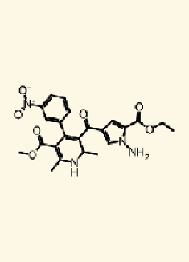 CCOC(=O)c1cc(C(=O)C2=C(c3cccc([N+](=O)[O-])c3)C(C(=O)OC)=C(C)NC2C)cn1N